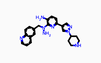 Nc1ccc(-c2cnn(C3CCNCC3)c2)nc1N(N)Cc1ccc2ncccc2c1